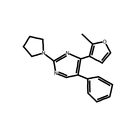 Cc1occc1-c1nc(N2CCCC2)ncc1-c1ccccc1